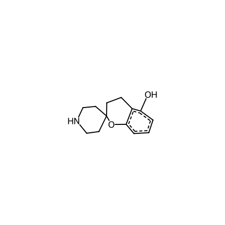 Oc1cccc2c1CCC1(CCNCC1)O2